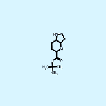 CC(C)(C)OC(=O)C1CCC2NCCC2N1